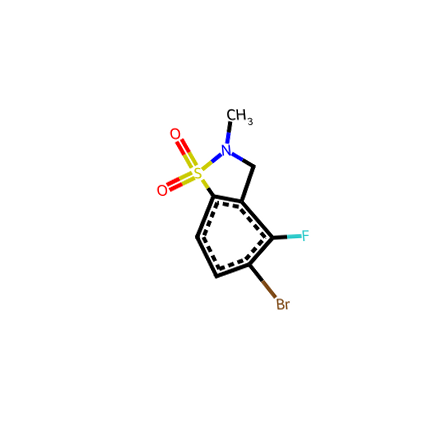 CN1Cc2c(ccc(Br)c2F)S1(=O)=O